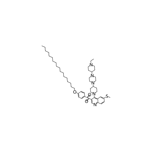 CCCCCCCCCCCCCCCCCCOc1ccc(S(=O)(=O)c2cnc3ccc(SC)cc3c2N2CCC(N3CCN(C4CCN(CC)CC4)CC3)CC2)cc1